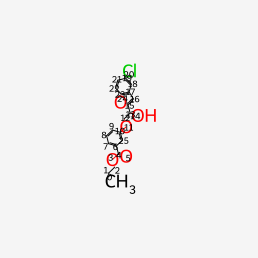 CCCOC(=O)c1cccc(OCC(O)c2cc3cc(Cl)ccc3o2)c1